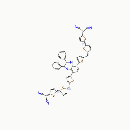 N#CC(C#N)=c1cc/c(=c2/cc/c(=C/c3ccc(-c4ccc(-c5ccc(/C=c6/cc/c(=c7/ccc(=C(C#N)C#N)s7)s6)s5)c5nc(-c6ccccc6)c(-c6ccccc6)nc45)s3)s2)s1